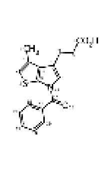 Cc1csc2c1c(CCC(=O)O)cn2C(=O)c1ccccc1